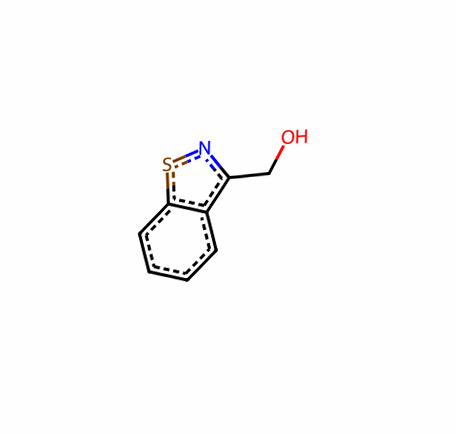 OCc1nsc2ccccc12